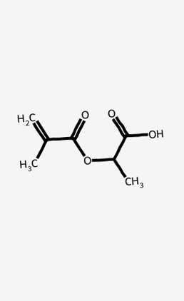 C=C(C)C(=O)OC(C)C(=O)O